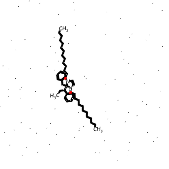 CCCCCCCCCCCCCCN1C=CN(CCCCCCCCCCCCC)C1(Cc1ccccc1)C(CC)c1ccccc1